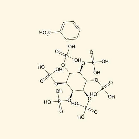 O=C(O)c1ccccc1.O=P(O)(O)O[C@H]1[C@H](OP(=O)(O)O)[C@@H](OP(=O)(O)O)[C@H](OP(=O)(O)O)[C@@H](OP(=O)(O)O)[C@H]1OP(=O)(O)O